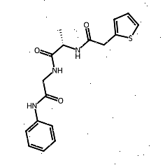 C[C@H](NC(=O)Cc1cccs1)C(=O)NCC(=O)Nc1ccccc1